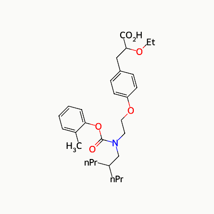 CCCC(CCC)CN(CCOc1ccc(CC(OCC)C(=O)O)cc1)C(=O)Oc1ccccc1C